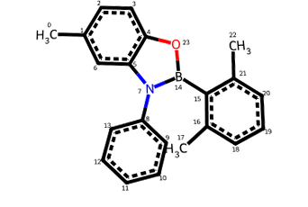 Cc1ccc2c(c1)N(c1ccccc1)B(c1c(C)cccc1C)O2